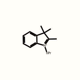 CCC[N+]1=C(C)C(C)(C)c2ccccc21